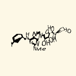 CNc1nc(NCc2cccc(I)c2)c2ncn(C3O[C@H](C(O)NC=O)[C@@H](O)[C@H]3O)c2n1